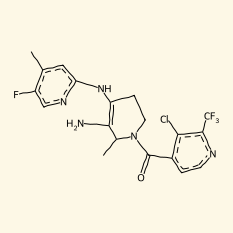 Cc1cc(NC2=C(N)C(C)N(C(=O)c3ccnc(C(F)(F)F)c3Cl)CC2)ncc1F